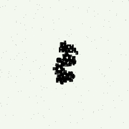 C[C@@H](NC1(C)CCC1)c1cc2c(c(C(F)(F)F)c1)CN(c1cccc(C3(Cc4nncn4C)CC(F)(F)C3)c1)C2=O